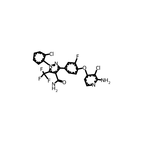 NC(=O)c1c(-c2ccc(Oc3ccnc(N)c3Cl)c(F)c2)nn(-c2ccccc2Cl)c1C(F)(F)F